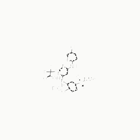 CNS(=O)(=O)c1ccc(OC(F)(F)F)c(Nc2cc(Nc3ccc(Cl)cn3)ncn2)c1.O=C(O)C(F)(F)F